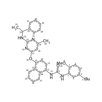 COc1ccc(C(C)(C)C)cc1NC(=O)Nc1ccc(Oc2cc(C)nc(NC(C)c3ccccc3)n2)c2ccccc12